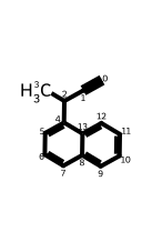 [C]#CC(C)c1cccc2ccccc12